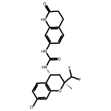 C[C@@]1(C(F)F)C[C@@H](NC(=O)Nc2ccc3c(c2)NC(=O)CC3)c2ccc(Cl)cc2O1